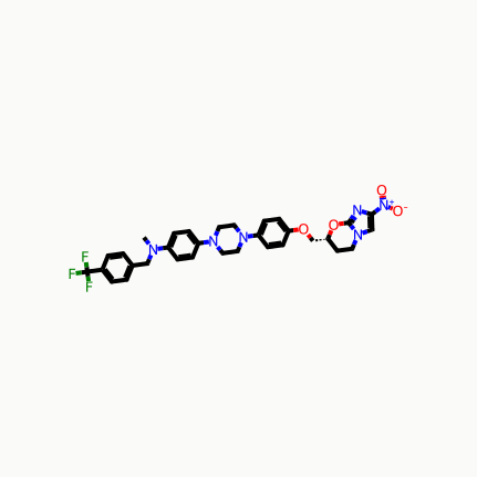 CN(Cc1ccc(C(F)(F)F)cc1)c1ccc(N2CCN(c3ccc(OC[C@H]4CCn5cc([N+](=O)[O-])nc5O4)cc3)CC2)cc1